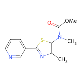 COC(=O)N(C)c1sc(-c2cccnc2)nc1C